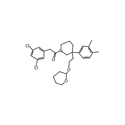 Cc1ccc(C2(CCOC3CCCCO3)CCCN(C(=O)Cc3cc(Cl)cc(Cl)c3)C2)cc1C